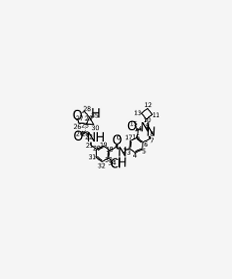 O=C(Nc1ccc2cnn(C3CCC3)c(=O)c2c1)c1cc(CNC(=O)[C@]23COC[C@H]2C3)ccc1Cl